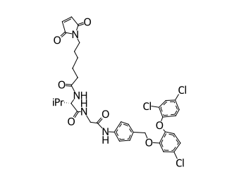 CC(C)[C@H](NC(=O)CCCCCN1C(=O)C=CC1=O)C(=O)NCC(=O)Nc1ccc(COc2cc(Cl)ccc2Oc2ccc(Cl)cc2Cl)cc1